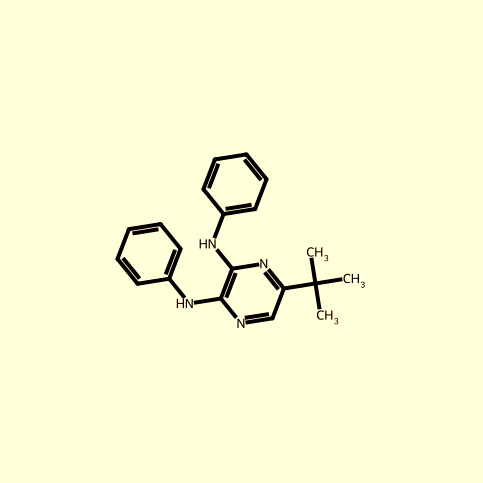 CC(C)(C)c1cnc(Nc2ccccc2)c(Nc2ccccc2)n1